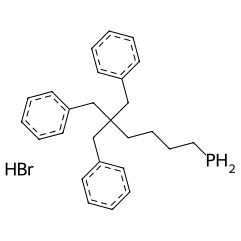 Br.PCCCCC(Cc1ccccc1)(Cc1ccccc1)Cc1ccccc1